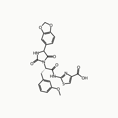 COc1cccc(C[C@@H](C(=O)Nc2nc(C(=O)O)cs2)N2C(=O)NC(c3ccc4c(c3)OCO4)C2=O)c1